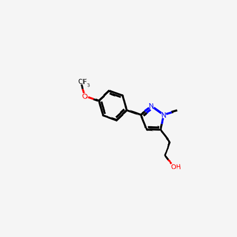 Cn1nc(-c2ccc(OC(F)(F)F)cc2)cc1CCO